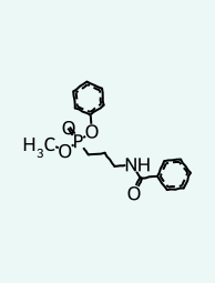 COP(=O)(CCCNC(=O)c1ccccc1)Oc1ccccc1